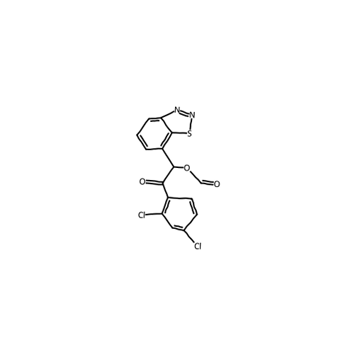 O=COC(C(=O)c1ccc(Cl)cc1Cl)c1cccc2nnsc12